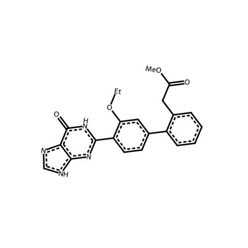 CCOc1cc(-c2ccccc2CC(=O)OC)ccc1-c1nc2[nH]cnc2c(=O)[nH]1